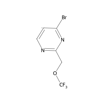 FC(F)(F)OCc1nc[c]c(Br)n1